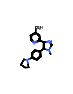 CN1CNC(c2cc(C(=O)O)ccn2)=C1c1ccc(N2CCCC2)cc1